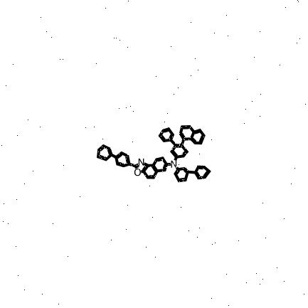 c1ccc(-c2ccc(-c3nc4c(ccc5cc(N(c6cccc(-c7ccccc7)c6)c6ccc(-c7cccc8ccccc78)c(-c7ccccc7)c6)ccc54)o3)cc2)cc1